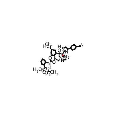 CC(=O)OC(c1ccccc1NC(=O)OCC[N+]1(C[C@](O)(c2cc(F)ccc2F)[C@@H](C)c2nc(-c3ccc(C#N)cc3)cs2)C=NC=N1)N(C)C.Cl.[Cl-]